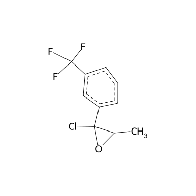 CC1OC1(Cl)c1cccc(C(F)(F)F)c1